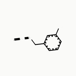 CC(C)(C)c1cccc(CN=[N+]=[N-])c1